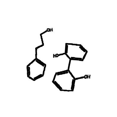 OCCCc1ccccc1.Oc1ccccc1-c1ccccc1O